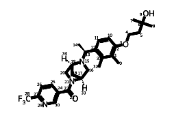 Cc1c(OCCC(C)(C)O)ccc([C@H](C)N2C[C@@H]3C[C@H]2CN3C(=O)c2ccc(C(F)(F)F)nc2)c1C